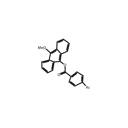 COc1c2ccccc2c(OC(=O)c2ccc(C(C)=O)cc2)c2ccccc12